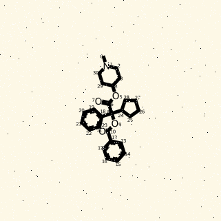 CN1CCC(OC(=O)C(OC(=O)c2ccccc2)(c2ccccc2)C2CCCC2)CC1